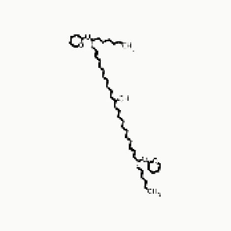 CCCCCC[C@H](CC=CCCCCCCCCC(O)CCCCCCCCC=CC[C@@H](CCCCCC)OC1CCCCO1)OC1CCCCO1